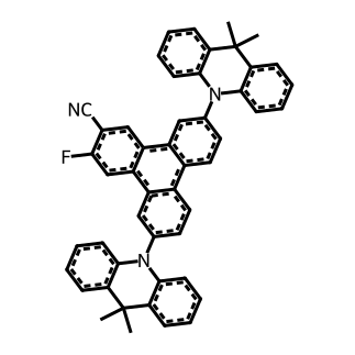 CC1(C)c2ccccc2N(c2ccc3c4ccc(N5c6ccccc6C(C)(C)c6ccccc65)cc4c4cc(C#N)c(F)cc4c3c2)c2ccccc21